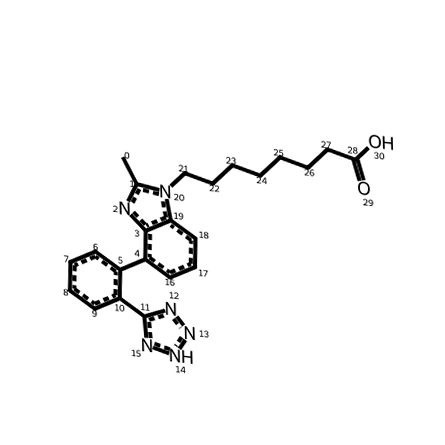 Cc1nc2c(-c3ccccc3-c3nn[nH]n3)cccc2n1CCCCCCCC(=O)O